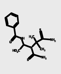 CC(C)(C(N)=S)N(C(N)=S)C(NC(=O)c1ccccc1)C(=O)O